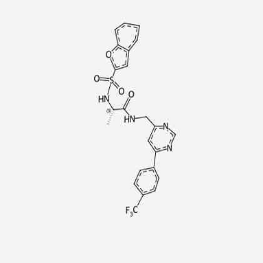 C[C@H](NS(=O)(=O)c1cc2ccccc2o1)C(=O)NCc1cc(-c2ccc(C(F)(F)F)cc2)ncn1